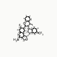 CC(c1ncccn1)N(C(=O)c1cc2c3c(c(N)nc2cc1F)COC3)C1CCc2cc(C(F)(F)F)ccc21